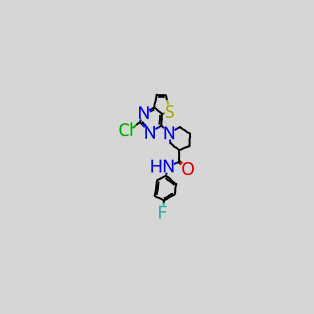 O=C(Nc1ccc(F)cc1)C1CCCN(c2nc(Cl)nc3ccsc23)C1